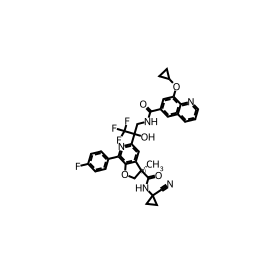 C[C@]1(C(=O)NC2(C#N)CC2)COc2c1cc(C(O)(CNC(=O)c1cc(OC3CC3)c3ncccc3c1)C(F)(F)F)nc2-c1ccc(F)cc1